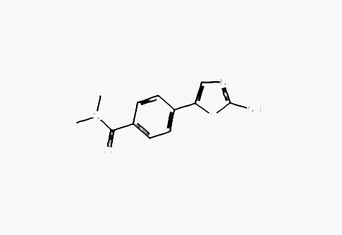 CN(C)C(=O)c1ccc(-c2cnc(N)s2)cc1